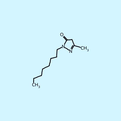 CCCCCCCCN1N=C(C)CC1=O